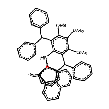 COc1c(OC)c(C(c2ccccc2)c2ccccc2)c(NC2C(=O)c3cccc4cccc2c34)c(C(c2ccccc2)c2ccccc2)c1OC